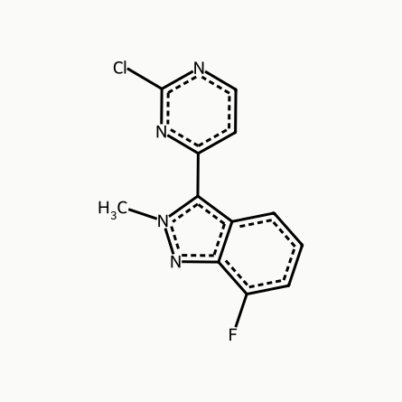 Cn1nc2c(F)cccc2c1-c1ccnc(Cl)n1